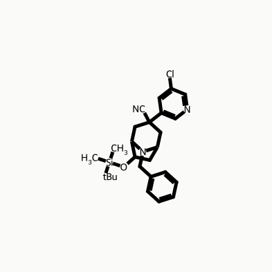 CC(C)(C)[Si](C)(C)OC1CC2CC(C#N)(c3cncc(Cl)c3)CC1N2Cc1ccccc1